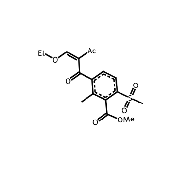 CCO/C=C(/C(C)=O)C(=O)c1ccc(S(C)(=O)=O)c(C(=O)OC)c1C